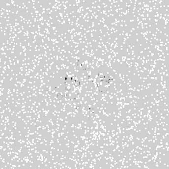 COc1cc(C(=O)C2CC(CCN3CCC(N4CCCCC4)CC3)(c3ccc(Cl)c(Cl)c3)CCCN2)cc(OC)c1OC